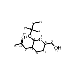 CCC(C)(C)OC1OC(CO)CCC1CC(C)=O